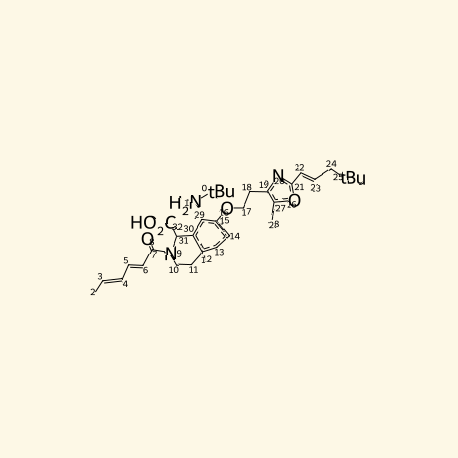 CC(C)(C)N.CC=CC=CC(=O)N1CCc2ccc(OCCc3nc(/C=C/CC(C)(C)C)oc3C)cc2C1C(=O)O